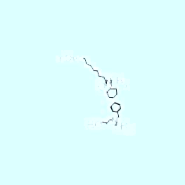 CCCCCCCCCCCCCCCCCC(=O)N(C)[C@H]1CC[C@H](c2ccc(CN(C)CCCO)cc2)CC1